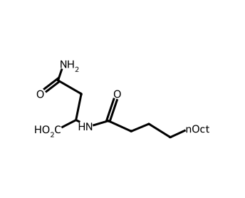 CCCCCCCCCCCC(=O)NC(CC(N)=O)C(=O)O